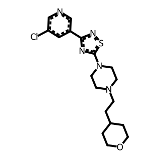 Clc1cncc(-c2nsc(N3CCN(CCC4CCOCC4)CC3)n2)c1